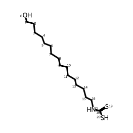 OCCCCCCCCCCCCCCCCNC(=S)S